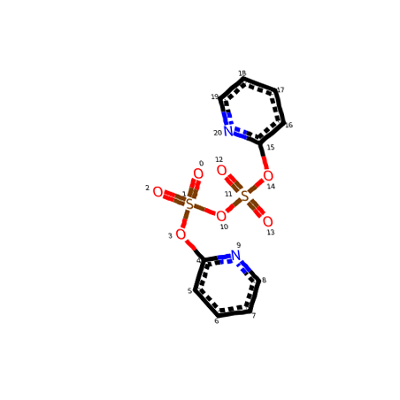 O=S(=O)(Oc1ccccn1)OS(=O)(=O)Oc1ccccn1